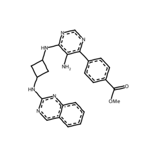 COC(=O)c1ccc(-c2ncnc(NC3CC(Nc4ncc5ccccc5n4)C3)c2N)cc1